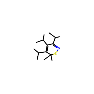 CC(C)C1=NSC(C)(C)C(C(C)C)=C1C(C)C